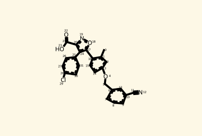 Cc1cc(OCc2cccc(C#N)c2)ccc1-c1onc(C(=O)O)c1-c1ccc(Cl)cc1